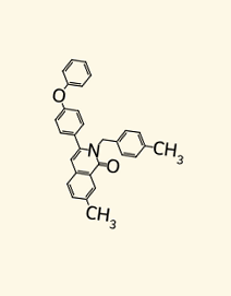 Cc1ccc(Cn2c(-c3ccc(Oc4ccccc4)cc3)cc3ccc(C)cc3c2=O)cc1